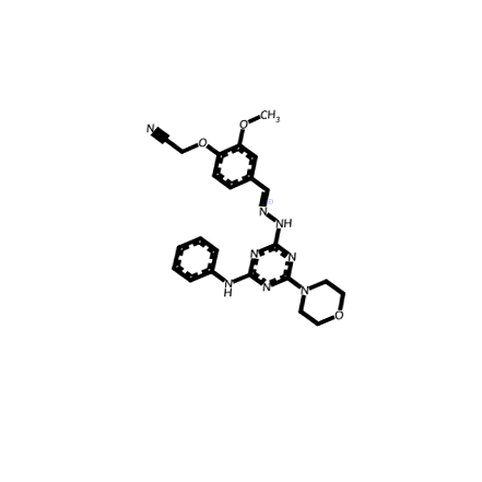 COc1cc(/C=N/Nc2nc(Nc3ccccc3)nc(N3CCOCC3)n2)ccc1OCC#N